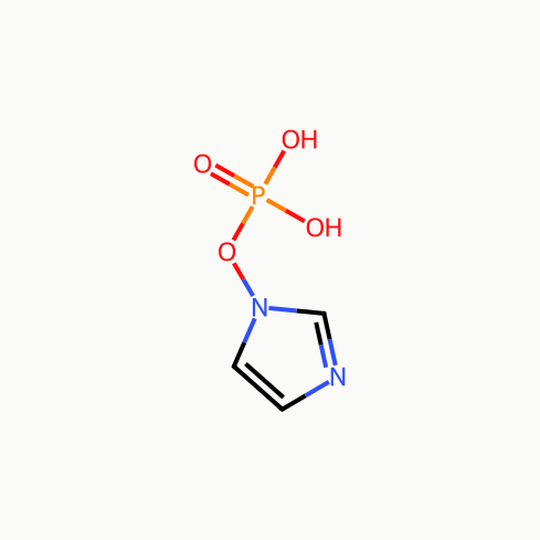 O=P(O)(O)On1ccnc1